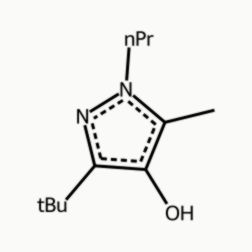 CCCn1nc(C(C)(C)C)c(O)c1C